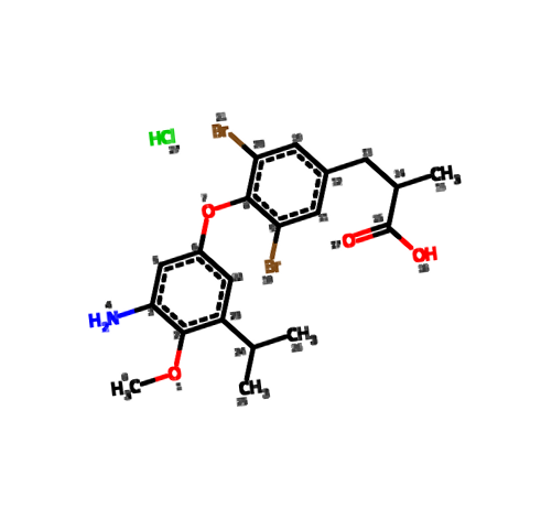 COc1c(N)cc(Oc2c(Br)cc(CC(C)C(=O)O)cc2Br)cc1C(C)C.Cl